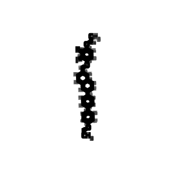 CCOc1ccc(-c2ccc(C3CCC4CC(COc5ccc(OCC)c(F)c5F)CCC4C3)cc2)cc1